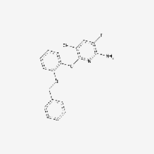 Nc1nc(Oc2ccccc2OCc2ccccc2)c(Cl)cc1F